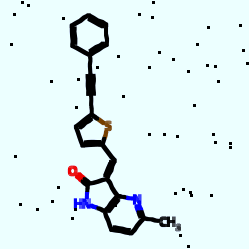 Cc1ccc2c(n1)C(=Cc1ccc(C#Cc3ccccc3)s1)C(=O)N2